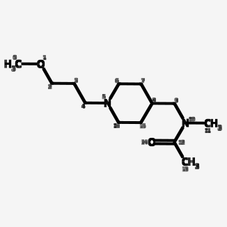 COCCCN1CCC(CN(C)C(C)=O)CC1